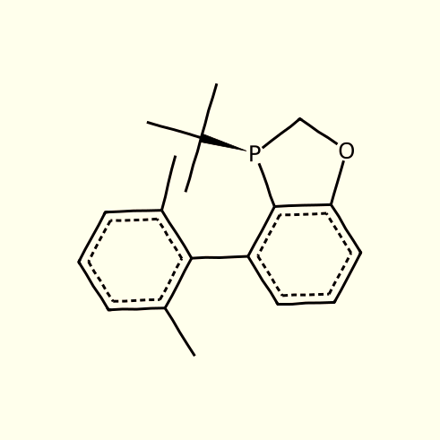 Cc1cccc(C)c1-c1cccc2c1[P@@](C(C)(C)C)CO2